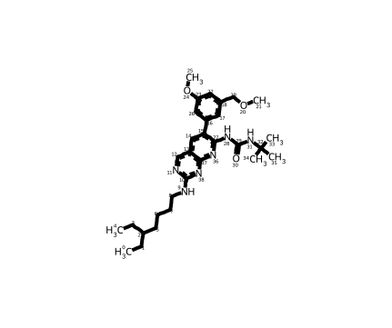 CCC(CC)CCCCNc1ncc2cc(-c3cc(COC)cc(OC)c3)c(NC(=O)NC(C)(C)C)nc2n1